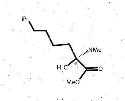 CN[C@](C)(CCCCC(C)C)C(=O)OC